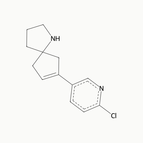 Clc1ccc(C2=CCC3(CCCN3)C2)cn1